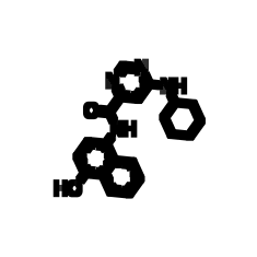 O=C(Nc1ccc(O)c2ccccc12)c1cc(NC2CCCCC2)ncn1